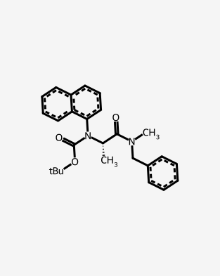 C[C@@H](C(=O)N(C)Cc1ccccc1)N(C(=O)OC(C)(C)C)c1cccc2ccccc12